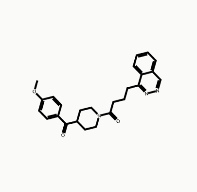 COc1ccc(C(=O)C2CCN(C(=O)CCCc3nncc4ccccc34)CC2)cc1